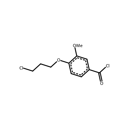 COc1cc(C(=O)Cl)ccc1OCCCCl